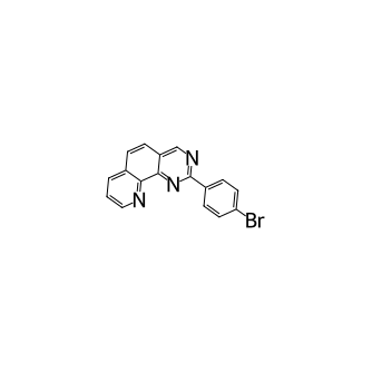 Brc1ccc(-c2ncc3ccc4cccnc4c3n2)cc1